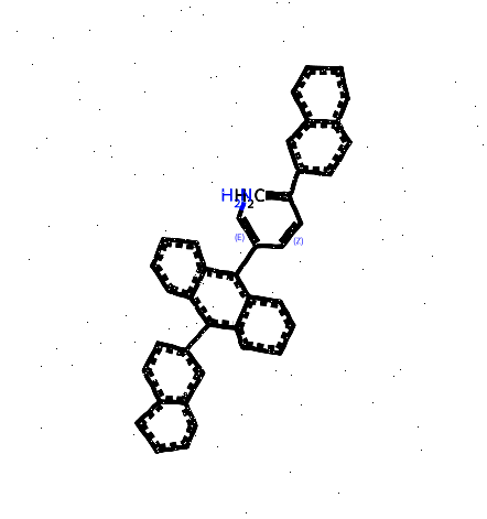 C=C(/C=C\C(=C/N)c1c2ccccc2c(-c2ccc3ccccc3c2)c2ccccc12)c1ccc2ccccc2c1